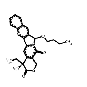 CCCCOC1c2cc3ccccc3nc2-c2cc3c(c(=O)n21)COC(=O)[C@]3(O)CC